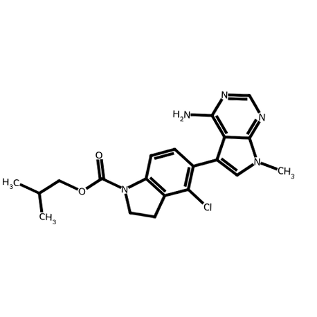 CC(C)COC(=O)N1CCc2c1ccc(-c1cn(C)c3ncnc(N)c13)c2Cl